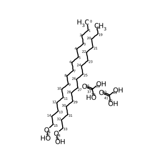 CCCCCCCCCCCCCCCCOO.CCCCCCCCCCCCCCCCOO.O=C(O)O.O=C(O)O